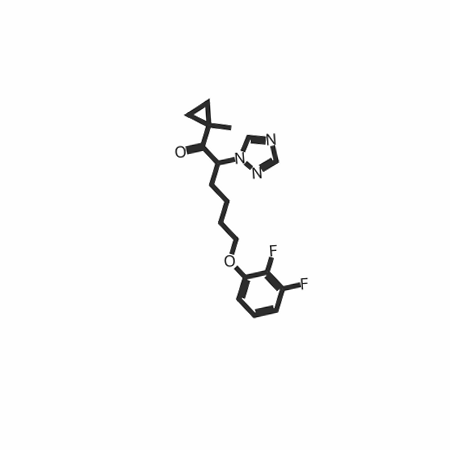 CC1(C(=O)C(CCCCOc2cccc(F)c2F)n2cncn2)CC1